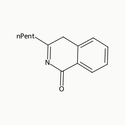 CCCCCC1=NC(=O)c2ccccc2C1